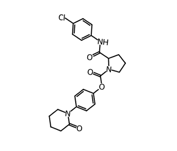 O=C(Nc1ccc(Cl)cc1)C1CCCN1C(=O)Oc1ccc(N2CCCCC2=O)cc1